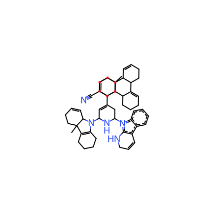 CC1CC=CC(C2=CC(N3C4=C(CCCC4)C4(C)CCC=CC34)NC(n3c4c(c5ccccc53)C=CCN4)C2)C1C1CCCC=C1C1CCC=CC1C1CCC(C#N)CC1